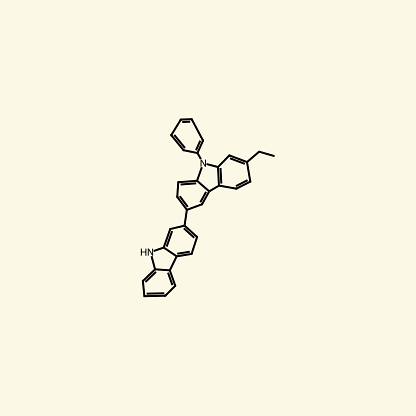 CCc1ccc2c3cc(-c4ccc5c(c4)[nH]c4ccccc45)ccc3n(-c3ccccc3)c2c1